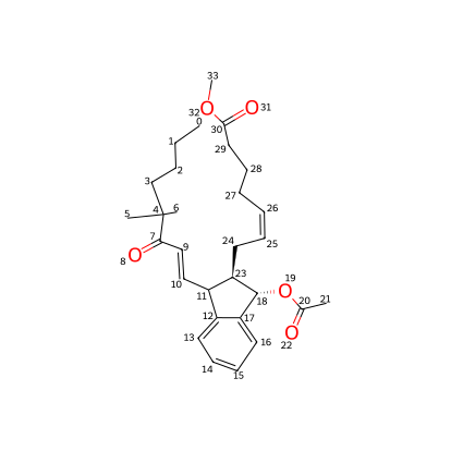 CCCCC(C)(C)C(=O)C=CC1c2ccccc2[C@@H](OC(C)=O)[C@@H]1C/C=C\CCCC(=O)OC